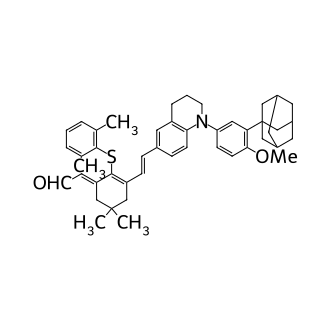 COc1ccc(N2CCCc3cc(/C=C/C4=C(Sc5c(C)cccc5C)C(=C/C=O)/CC(C)(C)C4)ccc32)cc1C12CC3CC(CC(C3)C1)C2